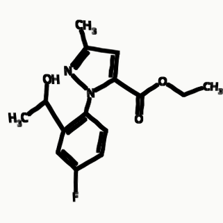 CCOC(=O)c1cc(C)nn1-c1ccc(F)cc1C(C)O